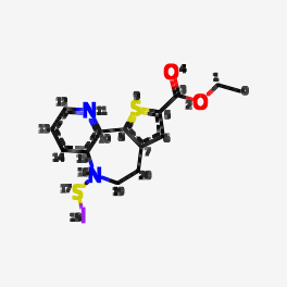 CCOC(=O)c1cc2c(s1)-c1ncccc1N(SI)CC2